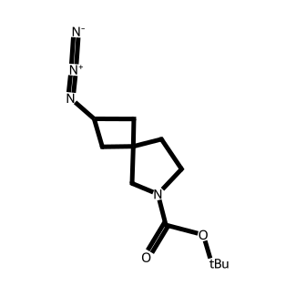 CC(C)(C)OC(=O)N1CCC2(CC(N=[N+]=[N-])C2)C1